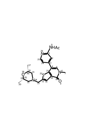 CC(=O)Nc1cc(-c2cn(C)c(=O)c3cc(CN4C[C@@H](C)O[C@@H](C)C4)sc23)ccn1